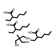 CC(CO)(CO)CO.CCCCC(CC)C(=O)O.CCCCC(CC)C(=O)O.CCCCC(CC)C(=O)O